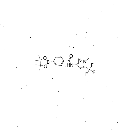 Cn1nc(NC(=O)c2ccc(B3OC(C)(C)C(C)(C)O3)cc2)cc1C(F)(F)F